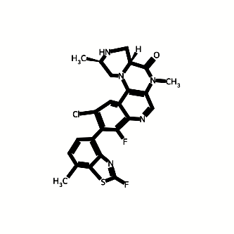 Cc1ccc(-c2c(Cl)cc3c4c(cnc3c2F)N(C)C(=O)[C@H]2CN[C@H](C)CN42)c2nc(F)sc12